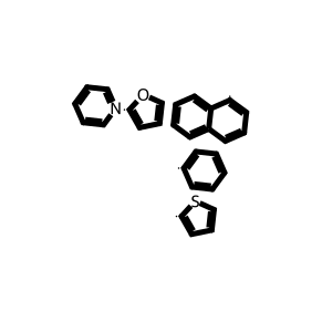 [c]1cccc2ccccc12.[c]1ccccc1.[c]1ccco1.[c]1cccs1.c1ccncc1